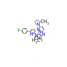 CCc1nc2ccc(N3CCCC3C)nn2c1N(C)c1nc(-c2ccc(F)cc2)cs1